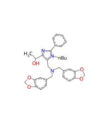 CCCCn1c(-c2ccccc2)nc(C(C)O)c1CN(Cc1ccc2c(c1)OCO2)Cc1ccc2c(c1)OCO2